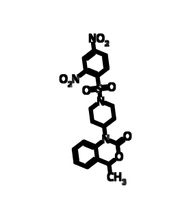 CC1OC(=O)N(C2CCN(S(=O)(=O)c3ccc([N+](=O)[O-])cc3[N+](=O)[O-])CC2)c2ccccc21